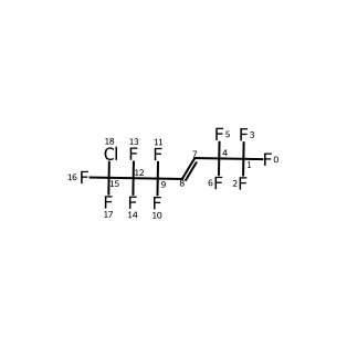 FC(F)(F)C(F)(F)C=CC(F)(F)C(F)(F)C(F)(F)Cl